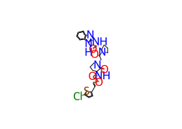 O=C(Nc1nc2ccccc2[nH]1)[C@@H]1CCCN1C(=O)CN1CCC[C@H](NS(=O)(=O)/C=C/c2ccc(Cl)s2)C1=O